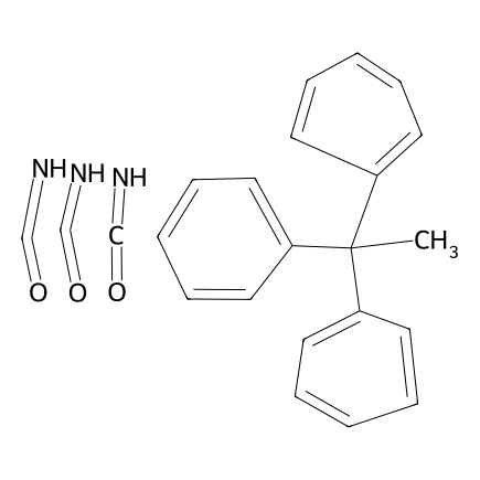 CC(c1ccccc1)(c1ccccc1)c1ccccc1.N=C=O.N=C=O.N=C=O